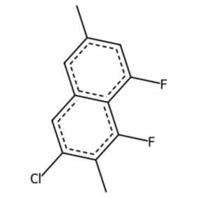 Cc1cc(F)c2c(F)c(C)c(Cl)cc2c1